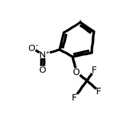 O=[N+]([O-])c1c[c]ccc1OC(F)(F)F